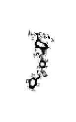 CC(C)c1ccc(CNc2ccc(C(=O)OCc3ccccc3)cc2)cc1